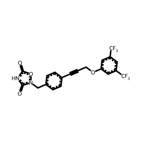 O=c1[nH]c(=O)n(Cc2ccc(C#CCOc3cc(C(F)(F)F)cc(C(F)(F)F)c3)cc2)o1